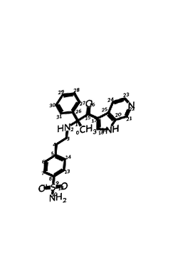 CC(NCCc1ccc(S(N)(=O)=O)cc1)(C(=O)c1c[nH]c2cnccc12)c1ccccc1